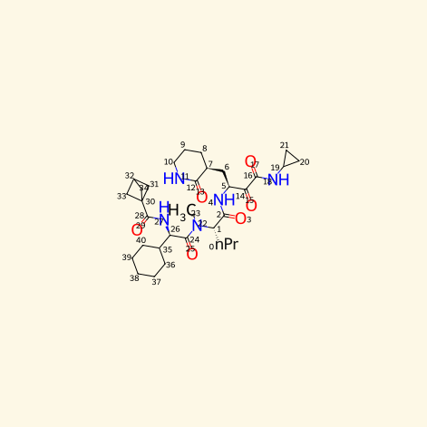 CCC[C@@H](C(=O)N[C@@H](C[C@@H]1CCCNC1=O)C(=O)C(=O)NC1CC1)N(C)C(=O)[C@H](NC(=O)C12CC(C1)C2)C1CCCCC1